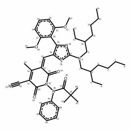 CCCCC(CC)CN(CC(CC)CCCC)c1nc(-c2c(OC)cccc2OC)c(/C=C2\C(=O)N(N(C(=O)C(C)(C)C)c3ccccc3)C(=O)C(C#N)=C2C)s1